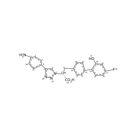 Nc1ccc(-c2cn([C@H](Cc3ccc(-c4ccc(F)cc4O)cc3)C(=O)O)nn2)cc1